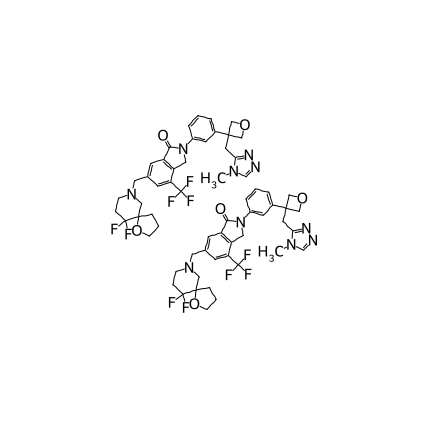 Cn1cnnc1CC1(c2cccc(N3Cc4c(cc(CN5CCC(F)(F)C6(CCCO6)C5)cc4C(F)(F)F)C3=O)c2)COC1.Cn1cnnc1CC1(c2cccc(N3Cc4c(cc(CN5CCC(F)(F)C6(CCCO6)C5)cc4C(F)(F)F)C3=O)c2)COC1